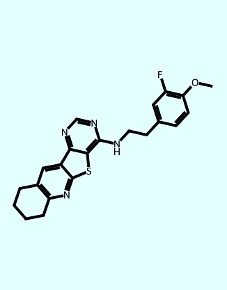 COc1ccc(CCNc2ncnc3c2sc2nc4c(cc23)CCCC4)cc1F